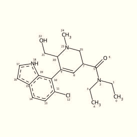 CCN(CC)C(=O)C1C=C(c2c(Cl)ccc3cc[nH]c23)C(CO)N(C)C1